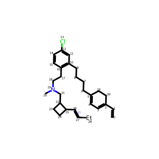 C=CC1=CC=C(CCCCc2cc(Cl)ccc2CCN(C)CC2CCC2/C=C/CC)CC1